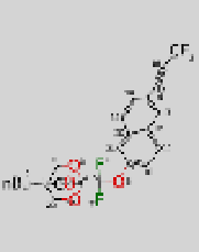 CCCCC12COC(C(F)(F)Oc3ccc4cc(C#CC(F)(F)F)ccc4c3)(OC1)OC2